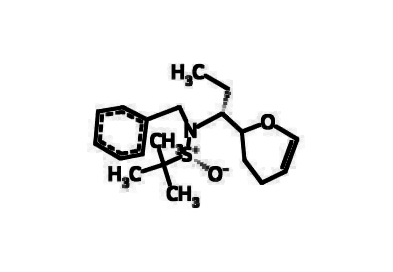 CC[C@H](C1CCC=CO1)N(Cc1ccccc1)[S@+]([O-])C(C)(C)C